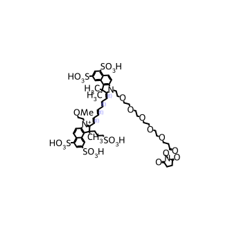 COCC[N+]1=C(/C=C/C=C/C=C/C=C2/N(CCOCCOCCOCCOCCOCCC(=O)ON3C(=O)CCC3=O)c3ccc4c(S(=O)(=O)O)cc(S(=O)(=O)O)cc4c3C2(C)C)C(C)(CCCS(=O)(=O)O)c2c1ccc1c(S(=O)(=O)O)cc(S(=O)(=O)O)cc21